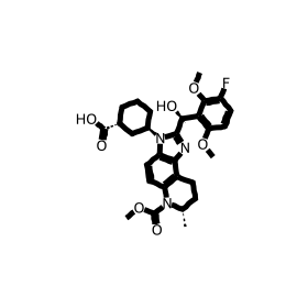 COC(=O)N1c2ccc3c(nc([C@@H](O)c4c(OC)ccc(F)c4OC)n3[C@@H]3CCC[C@@H](C(=O)O)C3)c2CC[C@@H]1C